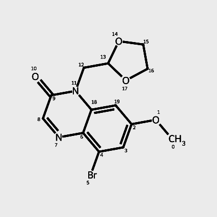 COc1cc(Br)c2ncc(=O)n(CC3OCCO3)c2c1